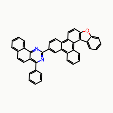 c1ccc(-c2nc(-c3ccc4c(c3)c3ccccc3c3c4ccc4oc5ccccc5c43)nc3c2ccc2ccccc23)cc1